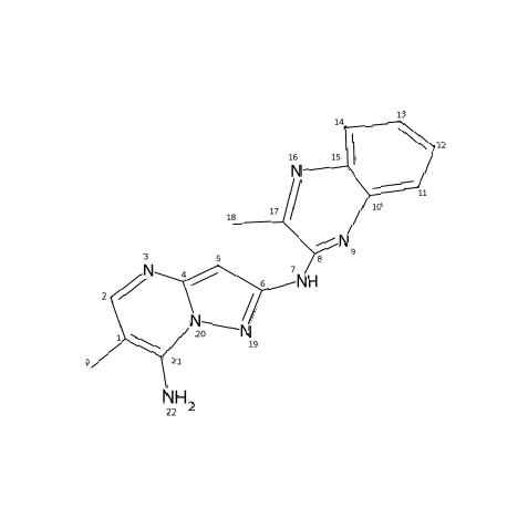 Cc1cnc2cc(Nc3nc4ccccc4nc3C)nn2c1N